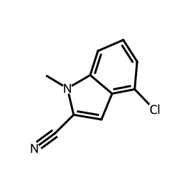 Cn1c(C#N)cc2c(Cl)cccc21